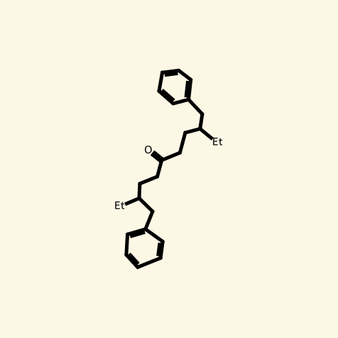 CCC(CCC(=O)CCC(CC)Cc1ccccc1)Cc1ccccc1